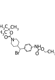 CCOC(=O)Nc1ccc(C(Br)C2CCN(C(=O)OC(C)(C)C)CC2)cc1